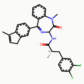 CC1=CCc2cc(C3=NC(NC(=O)[C@@H](C)Cc4ccc(F)c(F)c4)C(=O)N(C)c4ccccc43)ccc21